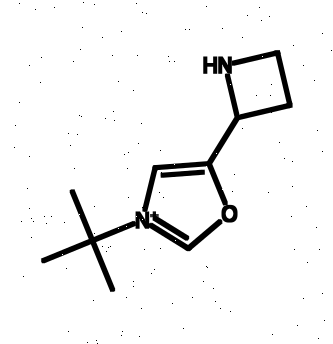 CC(C)(C)[n+]1coc(C2CCN2)c1